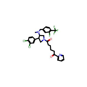 CN(Cc1ccc(C(F)(F)F)c(F)c1)C1CN(C(=O)CCCCC(=O)c2ccccn2)CC1c1ccc(Cl)c(Cl)c1